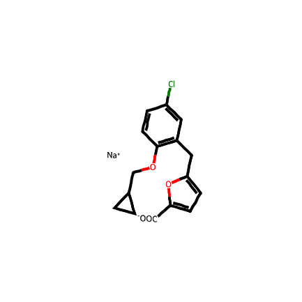 O=C([O-])c1ccc(Cc2cc(Cl)ccc2OCC2CC2)o1.[Na+]